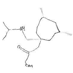 CC(C)NC[C@]1(CC(=O)O)C[C@H](C)C[C@H](C)C1